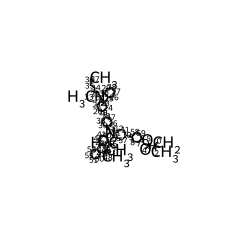 C=C(C)C(=O)Oc1ccc(C2=CC=C(N(c3ccc(-c4ccc5c(c4)c4ccccc4n5/C(C)=C/C=C\C)cc3)c3ccc4c(c3)C(C)(C)c3ccccc3-4)C(C)C2)cc1